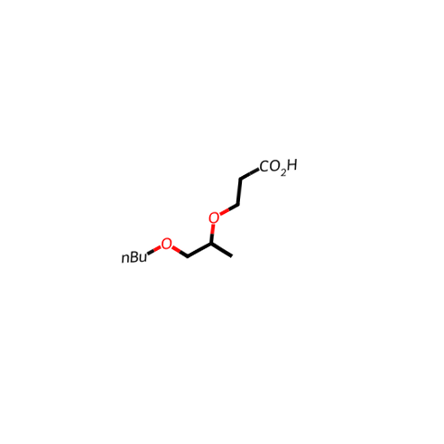 CCCCOCC(C)OCCC(=O)O